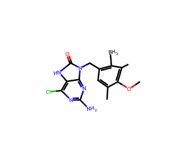 Bc1c(Cn2c(=O)[nH]c3c(Cl)nc(N)nc32)cc(C)c(OC)c1C